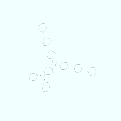 Cc1ccc(N(c2ccc(C)cc2)c2ccc(N(c3ccc(-c4ccc(-c5ccccc5)cc4)cc3)c3ccc(-c4ccc(-c5ccccc5)cc4)cc3)cc2)cc1